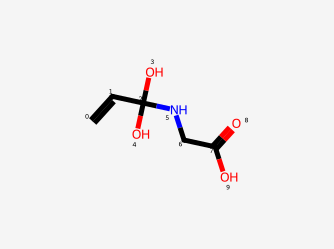 C=CC(O)(O)NCC(=O)O